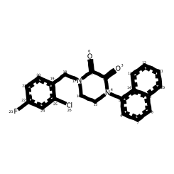 O=C1C(=O)N(c2cccc3ccccc23)CCN1Cc1ccc(F)cc1Cl